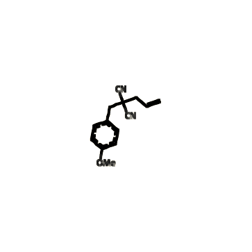 C=CCC(C#N)(C#N)Cc1ccc(OC)cc1